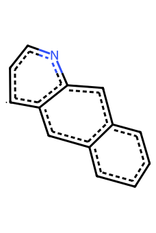 [c]1ccnc2cc3ccccc3cc12